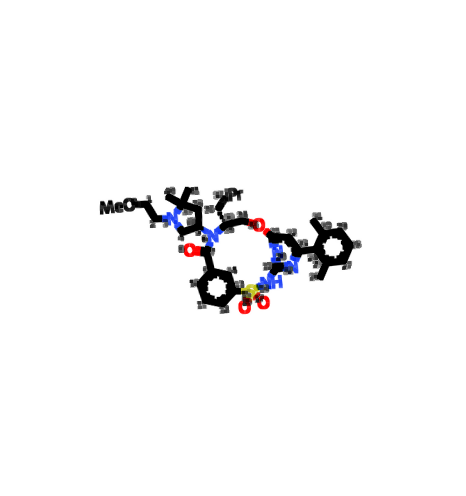 COCCN1C[C@H](N2C(=O)c3cccc(c3)S(=O)(=O)Nc3nc(cc(-c4c(C)cccc4C)n3)OC[C@H]2CC(C)C)CC1(C)C